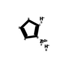 C1=CCC=C1.[H-].[H-].[Zr+2]